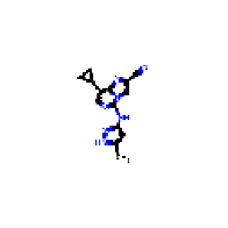 Cc1cc(Nc2ncc(C3CC3)c3nc(C#N)cn23)n[nH]1